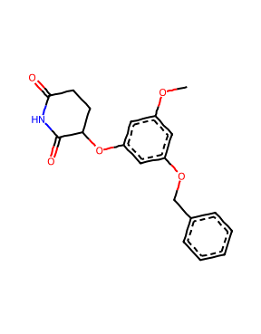 COc1cc(OCc2ccccc2)cc(OC2CCC(=O)NC2=O)c1